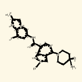 CCn1cc2c(N3CCC(N)(CC)CC3)ncc(C(=O)Nc3cc(F)c4nc(C)cn4c3)c2n1